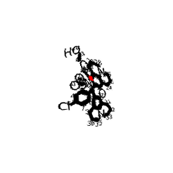 O=S1(=O)c2cc(Cl)ccc2C2(c3cc4c5c(c3Oc3c2cc2c6c3CCCN6CCC2)CCCN5CCC4)N1CCOCCO